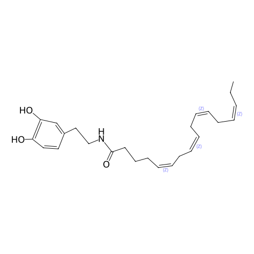 CC/C=C\C/C=C\C/C=C\C/C=C\CCCC(=O)NCCc1ccc(O)c(O)c1